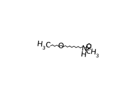 CCCCCCOCCCCCCCCCCNc1ccccc1C